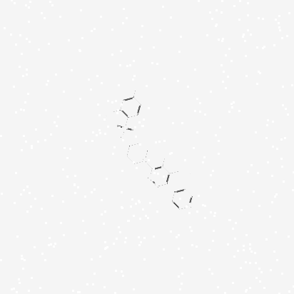 Cc1c(-c2ccncc2)nnc(N2CCC(NS(=O)(=O)c3ccc(F)cc3C(F)(F)F)CC2)c1C